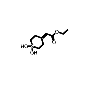 CCOC(=O)C=C1CCS(O)(O)CC1